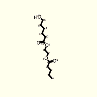 CCCCC(=O)OCCOC(=O)CCCCCO